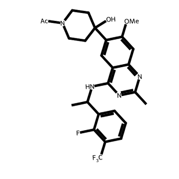 COc1cc2nc(C)nc(NC(C)c3cccc(C(F)(F)F)c3F)c2cc1C1(O)CCN(C(C)=O)CC1